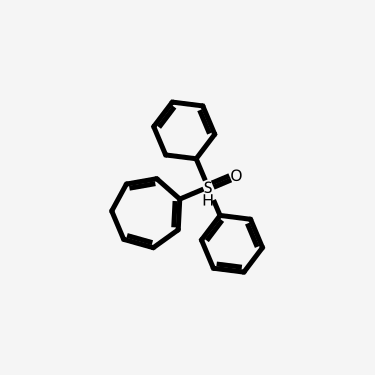 O=[SH](C1=CC=CCC=C1)(c1ccccc1)C1C=CC=CC1